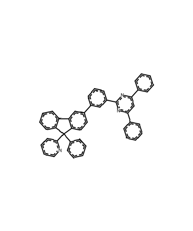 c1ccc(-c2cc(-c3ccccc3)nc(-c3cccc(-c4ccc5c(c4)-c4ccccc4C5(c4ccccc4)c4ccccn4)c3)n2)cc1